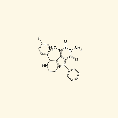 Cn1c(=O)c2c(-c3ccccc3)n3c(c2n(C)c1=O)C(c1ccc(F)cc1)NCC3